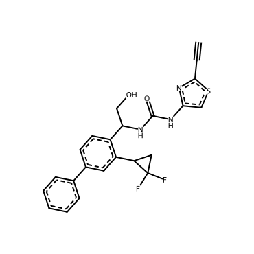 C#Cc1nc(NC(=O)NC(CO)c2ccc(-c3ccccc3)cc2C2CC2(F)F)cs1